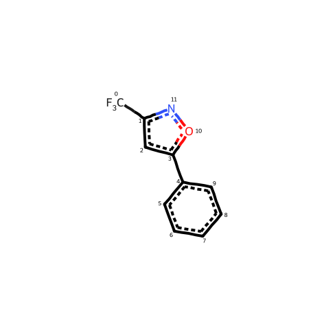 FC(F)(F)c1cc(-c2ccccc2)on1